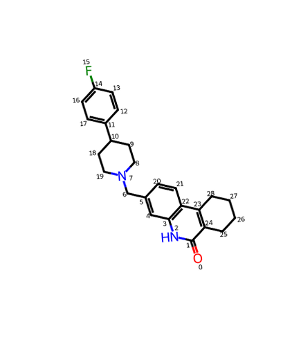 O=c1[nH]c2cc(CN3CCC(c4ccc(F)cc4)CC3)ccc2c2c1CCCC2